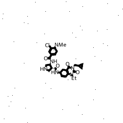 CCn1c2c(c(=O)n(CC3CC3)c1=O)CC(NC(=O)[C@@H]1CNC[C@H]1NC(=O)C1=CCC(NC)C(Cl)=C1)C=C2